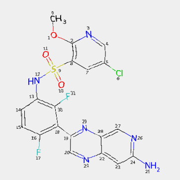 COc1ncc(Cl)cc1S(=O)(=O)Nc1ccc(F)c(-c2cnc3cc(N)ncc3n2)c1F